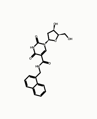 O=C(NCc1cccc2ccccc12)c1cn([C@H]2C[C@@H](O)[C@@H](CO)O2)c(=O)[nH]c1=O